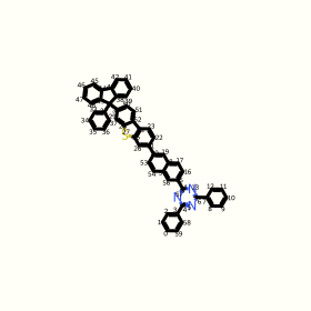 c1ccc(-c2nc(-c3ccccc3)nc(-c3ccc4cc(-c5ccc6c(c5)sc5cc(C7(c8ccccc8)c8ccccc8-c8ccccc87)ccc56)ccc4c3)n2)cc1